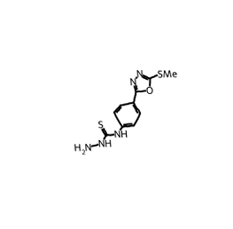 CSc1nnc(-c2ccc(NC(=S)NN)cc2)o1